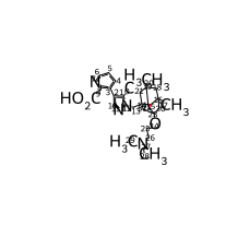 Cc1c(-c2cccnc2C(=O)O)cnn1CC12CC3(C)CC(C)(C1)CC(OCCN(C)C)(C3)C2